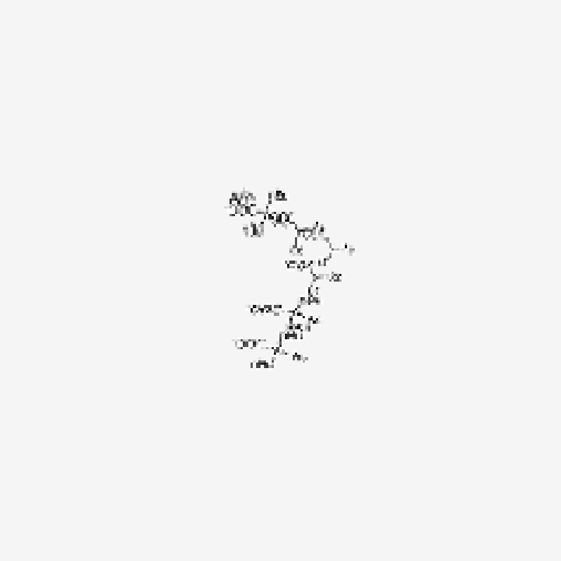 CCC(C(C)=O)C(=O)[O-].CCC(C(C)=O)C(=O)[O-].CCC(C(C)=O)C(=O)[O-].CCCCC(CCCC)(C(C)=O)C(=O)[O-].CCCCC(CCCC)(C(C)=O)C(=O)[O-].CCCCC(CCCC)(C(C)=O)C(=O)[O-].[Al+3].[Al+3]